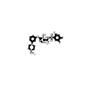 CCn1c(Oc2cccc(N3CCN(C)CC3)c2)nnc1[C@@H](C)NS(=O)(=O)c1cc(F)c(F)cc1F